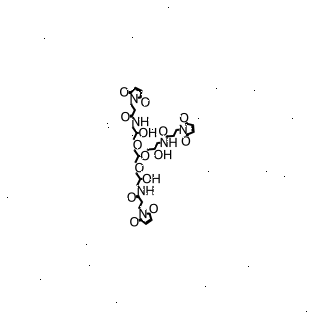 O=C(CCN1C(=O)C=CC1=O)NCC(O)COCC(COCC(O)CNC(=O)CCN1C(=O)C=CC1=O)OCC(O)CNC(=O)CCN1C(=O)C=CC1=O